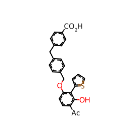 CC(=O)c1ccc(OCc2ccc(Cc3ccc(C(=O)O)cc3)cc2)c(-c2cccs2)c1O